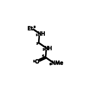 CCNCNC(=O)NC